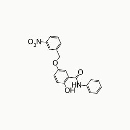 O=C(Nc1ccccc1)c1cc(OCc2cccc([N+](=O)[O-])c2)ccc1O